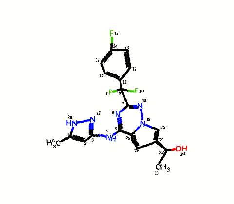 Cc1cc(Nc2nc(C(F)(F)c3ccc(F)cc3)nn3cc(C(C)O)cc23)n[nH]1